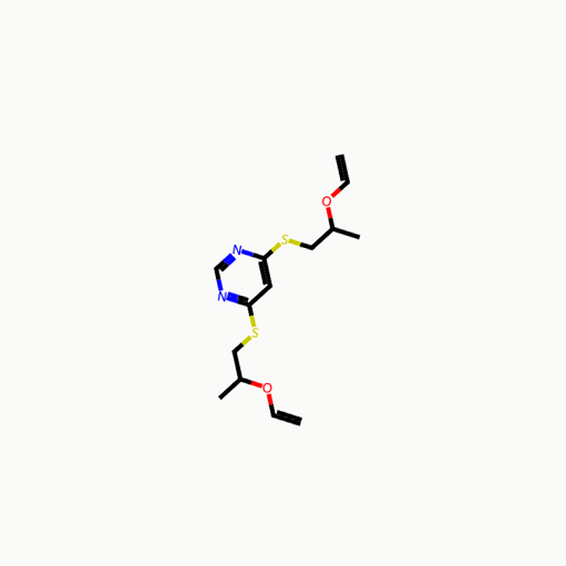 C=COC(C)CSc1cc(SCC(C)OC=C)ncn1